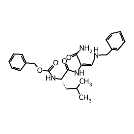 CC(C)C[C@H](NC(=O)OCc1ccccc1)C(=O)N/C(=C/NCc1ccccc1)C(N)=O